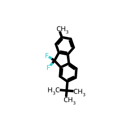 Cc1ccc2c(c1)C(F)(F)c1cc(C(C)(C)C)ccc1-2